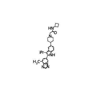 Cc1cc(-c2[nH]c3ccc(C4CCN(CC(=O)NC5CCC5)CC4)cc3c2C(C)C)cn2ncnc12